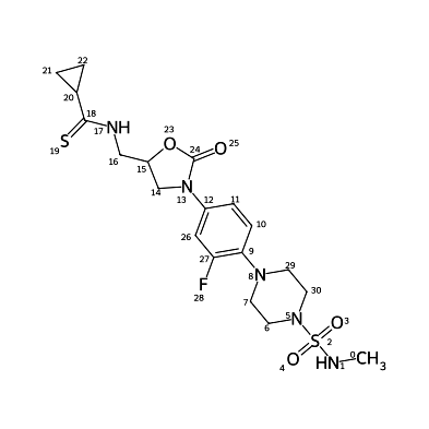 CNS(=O)(=O)N1CCN(c2ccc(N3CC(CNC(=S)C4CC4)OC3=O)cc2F)CC1